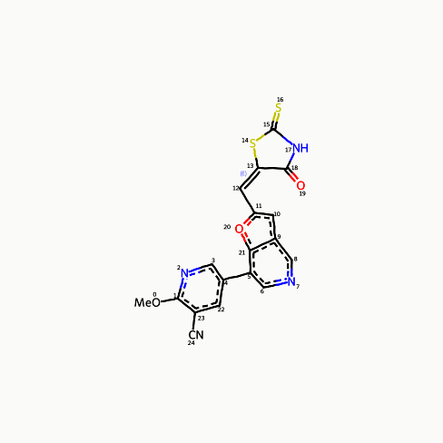 COc1ncc(-c2cncc3cc(/C=C4/SC(=S)NC4=O)oc23)cc1C#N